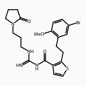 COc1ccc(Br)cc1CCc1sccc1C(=O)NC(=N)NCCCN1CCCC1=O